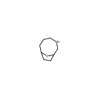 C1CNCC2CCC(C1)O2